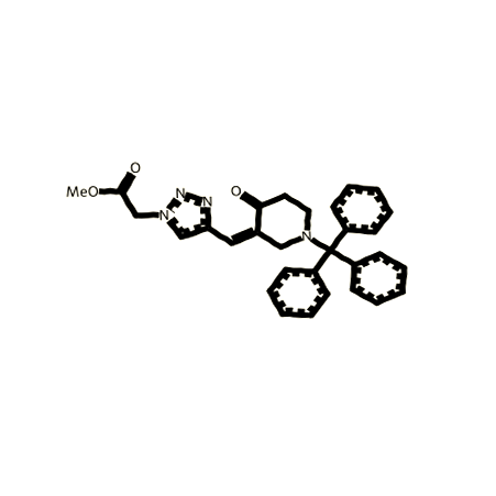 COC(=O)Cn1cc(/C=C2/CN(C(c3ccccc3)(c3ccccc3)c3ccccc3)CCC2=O)nn1